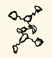 C(=Cc1cc(C=Cc2ccccc2)cc(C23CC4CC(C2)CC(C25CC6CC(CC(c7cc(C=Cc8ccccc8)cc(C=Cc8ccccc8)c7)(C6)C2)C5)(C4)C3)c1)c1ccccc1